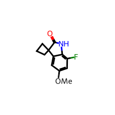 COc1cc(F)c2c(c1)C1(CCC1)C(=O)N2